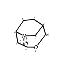 CC(C)N1CC2CCC1CCOC2